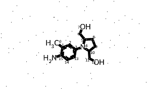 Cc1cc(N2C(CO)CCC2CO)ccc1N